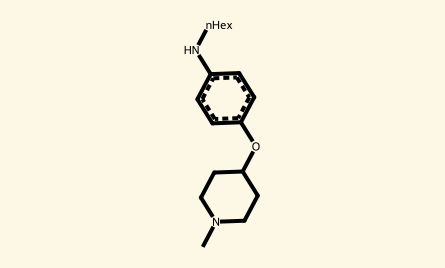 CCCCCCNc1ccc(OC2CCN(C)CC2)cc1